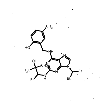 CCC(CC)n1cnc2c(NCc3cc(C)ccc3O)nc(NC(CC)C(C)(C)O)nc21